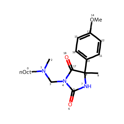 CCCCCCCCN(C)CN1C(=O)NC(C)(c2ccc(OC)cc2)C1=O